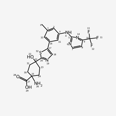 Cc1cc(Nc2nccc(C(F)(F)F)n2)cc(-c2cnc(C3(O)CCC(N)(C(=O)O)CC3)s2)c1